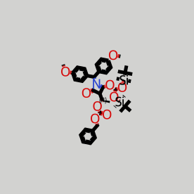 COc1ccc(C(c2ccc(OC)cc2)N2C(=O)C([C@@H](C)OC(=O)OCc3ccccc3)C2OC(O[Si](C)(C)C(C)(C)C)O[Si](C)(C)C(C)(C)C)cc1